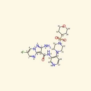 Nc1nn2cc(F)cnc2c1C(=O)Nc1cnccc1N1CCN(S(=O)(=O)C2CCOCC2)CC1